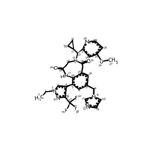 CCn1cc(-c2cc(Cn3ccnc3)cc3c2NC(=O)CN([C@H](c2cc(OC)ccn2)C2CC2)C3=O)c(C(F)(F)F)n1